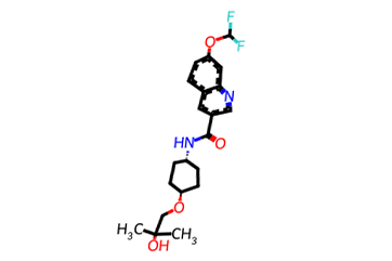 CC(C)(O)CO[C@H]1CC[C@H](NC(=O)c2cnc3cc(OC(F)F)ccc3c2)CC1